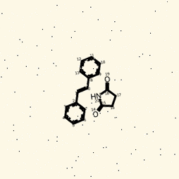 C(=Cc1ccccc1)c1ccccc1.O=C1CCC(=O)N1